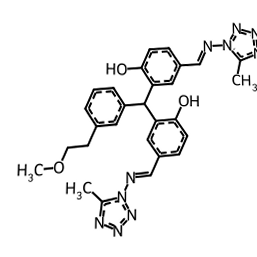 COCCc1cccc(C(c2cc(C=Nn3nnnc3C)ccc2O)c2cc(C=Nn3nnnc3C)ccc2O)c1